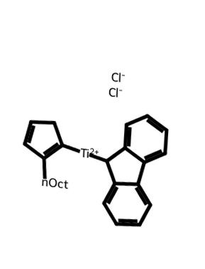 CCCCCCCCC1=[C]([Ti+2][CH]2c3ccccc3-c3ccccc32)CC=C1.[Cl-].[Cl-]